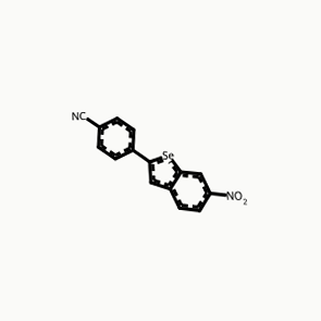 N#Cc1ccc(-c2cc3ccc([N+](=O)[O-])cc3[se]2)cc1